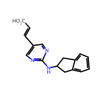 O=C(O)C=Cc1cnc(NC2Cc3ccccc3C2)nc1